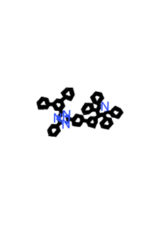 c1ccc(-c2cc(-c3ccccc3)cc(-c3nc(-c4ccccc4)nc(-c4ccc(-c5cccc(-c6c(-c7ccccc7)c(-c7ccccc7)nc(-c7ccccc7)c6-c6ccccc6)c5)cc4)n3)c2)cc1